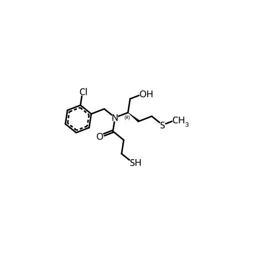 CSCC[C@H](CO)N(Cc1ccccc1Cl)C(=O)CCS